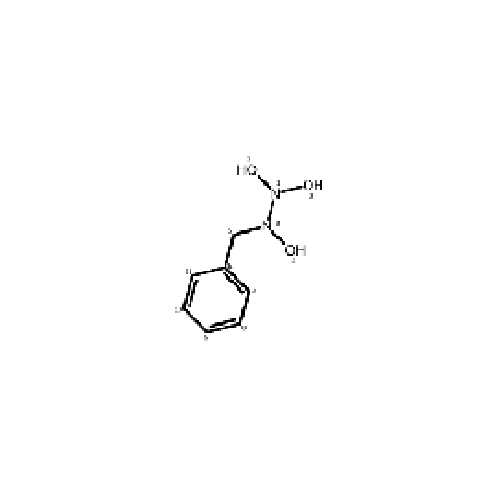 ON(O)N(O)Cc1ccccc1